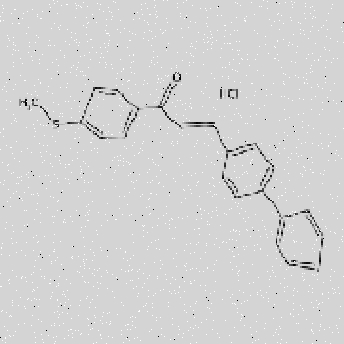 CSc1ccc(C(=O)C=Cc2ccc(-c3ccccc3)cc2)cc1.Cl